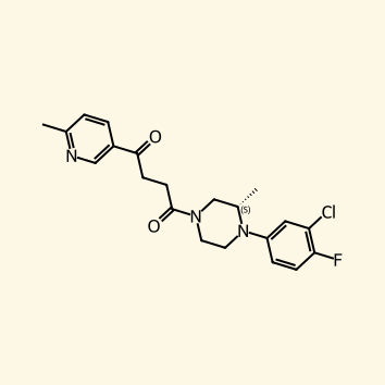 Cc1ccc(C(=O)CCC(=O)N2CCN(c3ccc(F)c(Cl)c3)[C@@H](C)C2)cn1